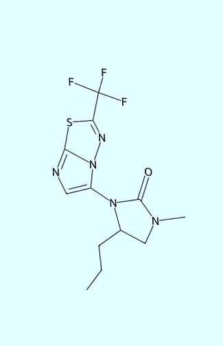 CCCC1CN(C)C(=O)N1c1cnc2sc(C(F)(F)F)nn12